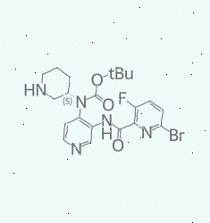 CC(C)(C)OC(=O)N(c1ccncc1NC(=O)c1nc(Br)ccc1F)[C@H]1CCCNC1